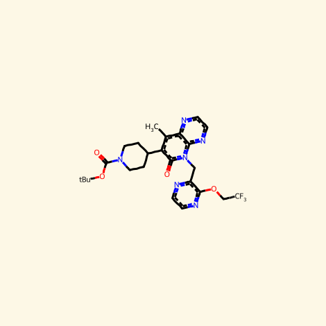 Cc1c(C2CCN(C(=O)OC(C)(C)C)CC2)c(=O)n(Cc2nccnc2OCC(F)(F)F)c2nccnc12